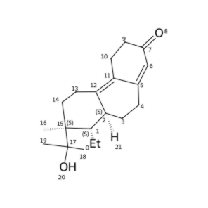 CC[C@H]1[C@@H]2CCC3=CC(=O)CCC3=C2CC[C@]1(C)C(C)(C)O